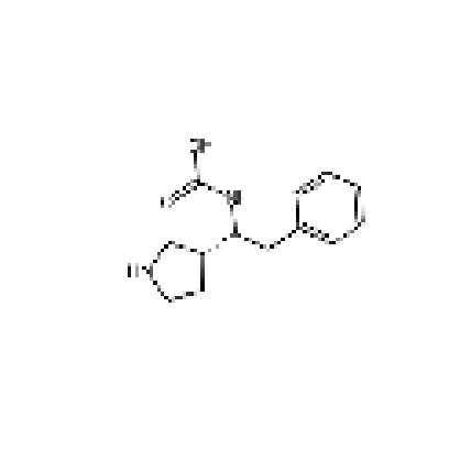 O=C(O)NC(Cc1ccccc1)[C@@H]1CCNC1